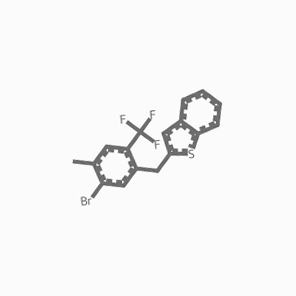 Cc1cc(C(F)(F)F)c(Cc2cc3ccccc3s2)cc1Br